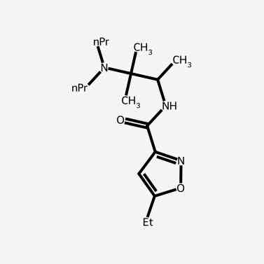 CCCN(CCC)C(C)(C)C(C)NC(=O)c1cc(CC)on1